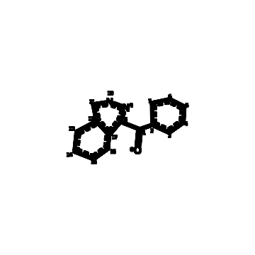 O=C(c1ccccc1)c1nncc2ccccc12